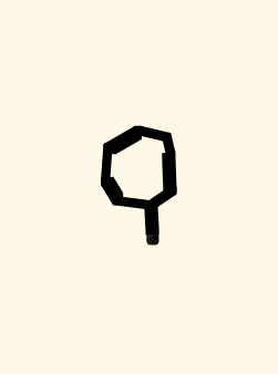 O=C1C=CC=CCC=C1